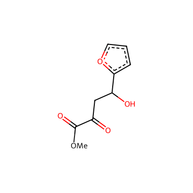 COC(=O)C(=O)CC(O)c1ccco1